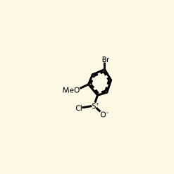 COc1cc(Br)ccc1[S+]([O-])Cl